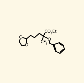 CCOC(=O)C(CCCC1OCCO1)(OCc1ccccc1)C(F)(F)F